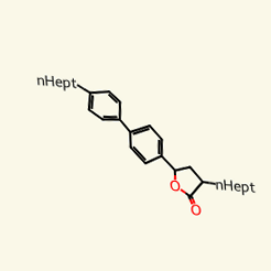 CCCCCCCc1ccc(-c2ccc(C3CC(CCCCCCC)C(=O)O3)cc2)cc1